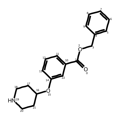 O=C(OCc1ccccc1)c1cccc(OC2CCNCC2)c1